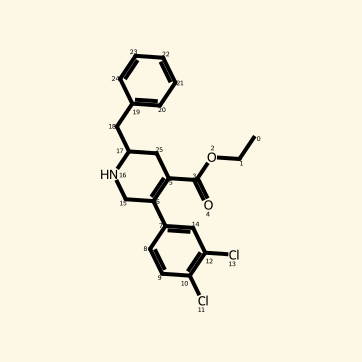 CCOC(=O)C1=C(c2ccc(Cl)c(Cl)c2)CNC(Cc2ccccc2)C1